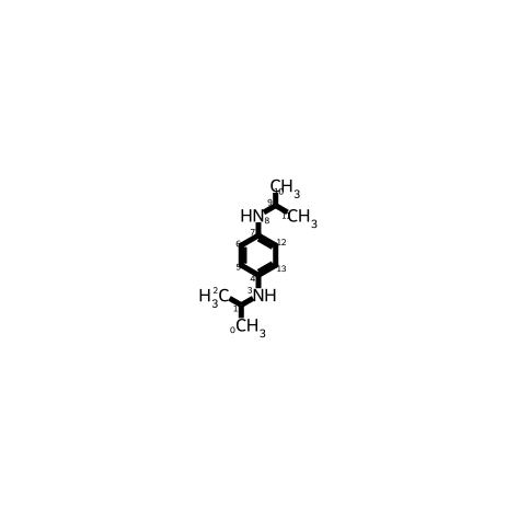 CC(C)Nc1ccc(NC(C)C)cc1